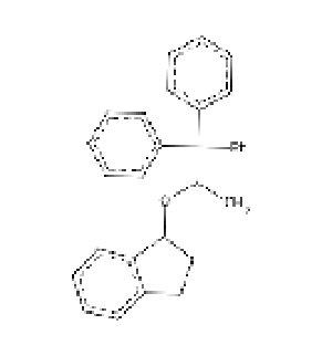 CCC(c1ccccc1)(c1ccccc1)C(C)OC1CCc2ccccc21